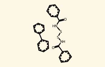 O=C(NSSNC(=O)c1ccccc1)c1ccccc1.c1ccc(-c2ccccc2)cc1